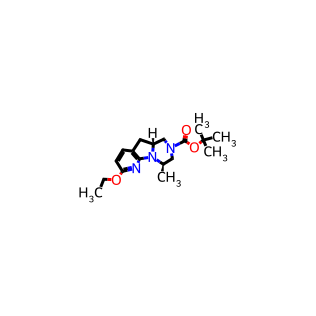 CCOc1ccc2c(n1)N1[C@H](C2)CN(C(=O)OC(C)(C)C)C[C@H]1C